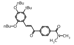 CCCCOc1cc(OCCCC)c(C(C)(C)C)cc1C=CC(=O)c1ccc(C(=O)N(C)C)cc1